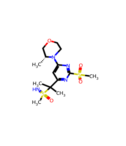 C[C@@H]1COCCN1c1cc(C(C)(C)S(C)(=N)=O)nc(S(C)(=O)=O)n1